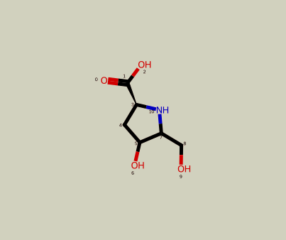 O=C(O)[C@@H]1CC(O)C(CO)N1